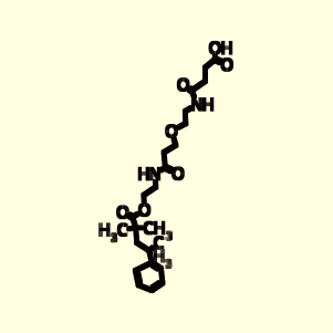 CC(CC(C)(C)C(=O)OCCNC(=O)CCOCCNC(=O)CCC(=O)O)c1ccccc1